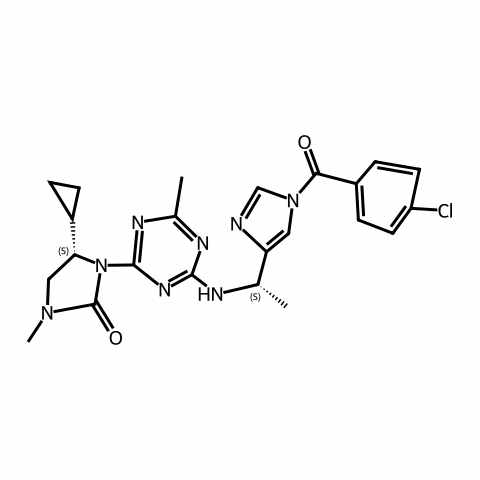 Cc1nc(N[C@@H](C)c2cn(C(=O)c3ccc(Cl)cc3)cn2)nc(N2C(=O)N(C)C[C@@H]2C2CC2)n1